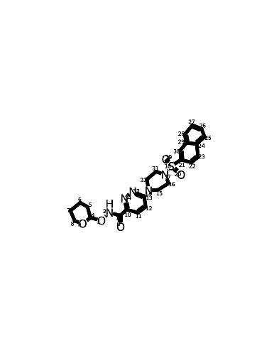 O=C(NOC1CCCCO1)c1ccc(N2CCN(S(=O)(=O)c3ccc4ccccc4c3)CC2)nn1